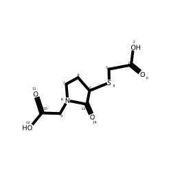 O=C(O)CSC1CCN(CC(=O)O)C1=O